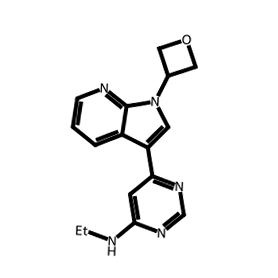 CCNc1cc(-c2cn(C3COC3)c3ncccc23)ncn1